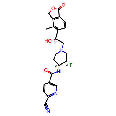 Cc1c([C@@H](O)CN2CC[C@@H](NC(=O)c3ccc(C#N)nc3)[C@@H](F)C2)ccc2c1COC2=O